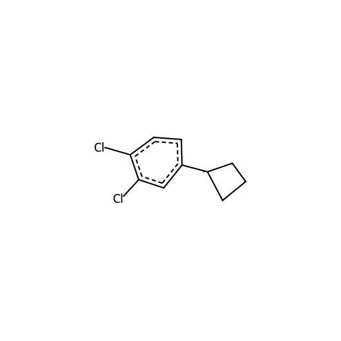 Clc1ccc([C]2CCC2)cc1Cl